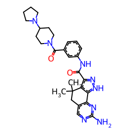 CC1(C)Cc2cnc(N)nc2-c2[nH]nc(C(=O)Nc3cccc(C(=O)N4CCC(N5CCCC5)CC4)c3)c21